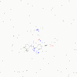 CN(C)C/C=C/C(=O)Nc1cc2c(Nc3ccc(F)c(Cl)c3)ncnc2cc1C#C[C@@H]1CCCO1